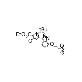 CCOC(=O)c1cn2c(cc1=O)-c1c3cccc(OCCCS(C)(=O)=O)c3nn1CC2C(C)(C)C